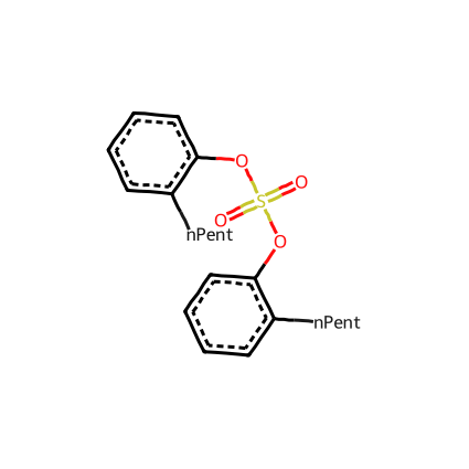 CCCCCc1ccccc1OS(=O)(=O)Oc1ccccc1CCCCC